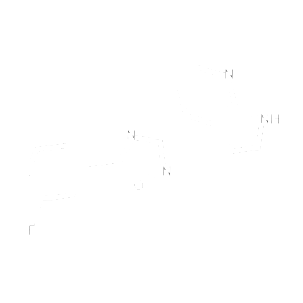 Fc1cccc(-c2nc(-c3ccnc4[nH]ccc34)no2)c1